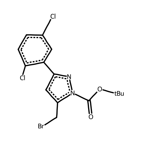 CC(C)(C)OC(=O)n1nc(-c2cc(Cl)ccc2Cl)cc1CBr